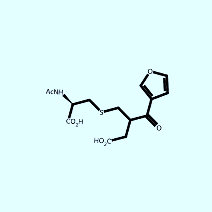 CC(=O)N[C@@H](CSCC(CC(=O)O)C(=O)c1ccoc1)C(=O)O